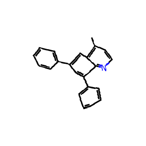 Cc1ccnc2c(-c3ccccc3)cc(-c3ccccc3)cc12